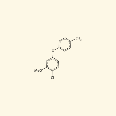 COc1cc(Oc2ccc(C)cc2)ccc1Cl